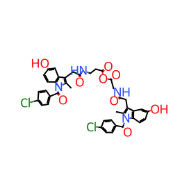 Cc1c(CC(=O)NCCC(=O)OC(=O)CNC(=O)Cc2c(C)n(C(=O)c3ccc(Cl)cc3)c3ccc(O)cc23)c2cc(O)ccc2n1C(=O)c1ccc(Cl)cc1